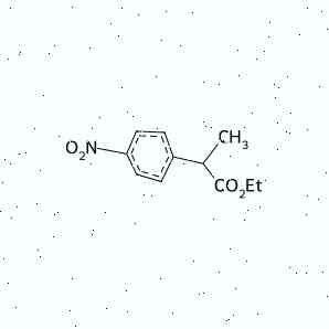 CCOC(=O)C(C)c1ccc([N+](=O)[O-])cc1